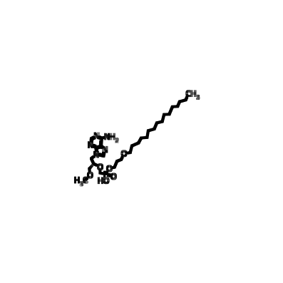 CCCCCCCCCCCCCCCCOCCCOP(=O)(O)CO[C@@H](COC)Cn1cnc2c(N)ncnc21